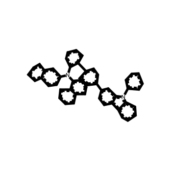 c1ccc(-n2c3ccccc3c3ccc(-c4ccc(-c5ccccc5N(c5ccc6ccccc6c5)c5cccc6ccccc56)cc4)cc32)cc1